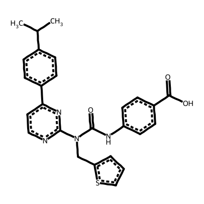 CC(C)c1ccc(-c2ccnc(N(Cc3cccs3)C(=O)Nc3ccc(C(=O)O)cc3)n2)cc1